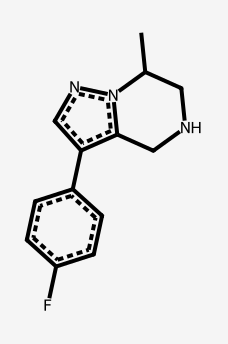 CC1CNCc2c(-c3ccc(F)cc3)cnn21